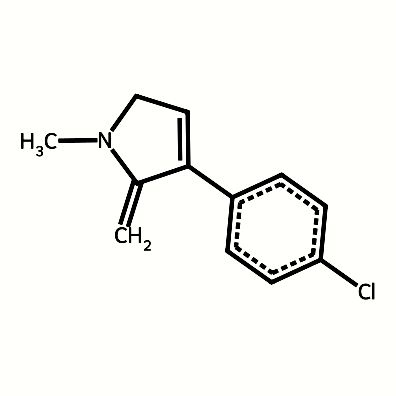 C=C1C(c2ccc(Cl)cc2)=CCN1C